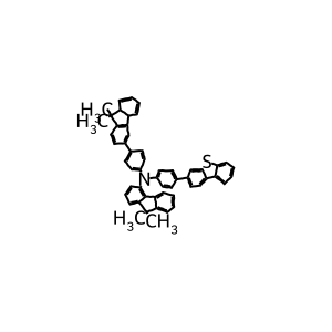 CC1(C)c2ccccc2-c2c(N(c3ccc(-c4ccc5c(c4)C4C=CC=CC4C5(C)C)cc3)c3ccc(-c4ccc5c(c4)sc4ccccc45)cc3)cccc21